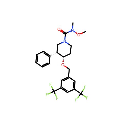 CON(C)C(=O)N1CC[C@H](OCc2cc(C(F)(F)F)cc(C(F)(F)F)c2)[C@H](c2ccccc2)C1